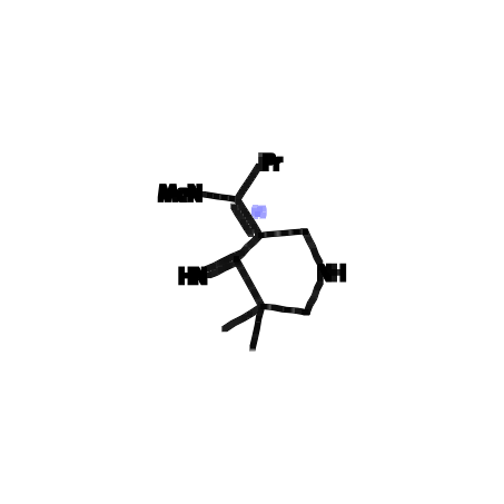 CN/C(=C1/CNCC(C)(C)C1=N)C(C)C